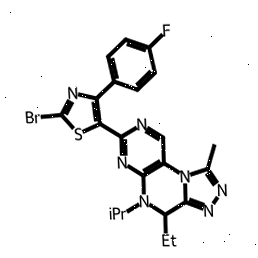 CCC1c2nnc(C)n2-c2cnc(-c3sc(Br)nc3-c3ccc(F)cc3)nc2N1C(C)C